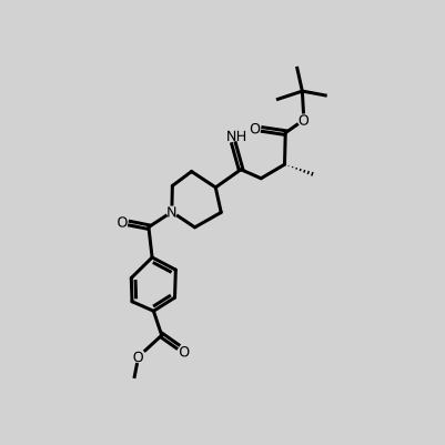 COC(=O)c1ccc(C(=O)N2CCC(C(=N)C[C@@H](C)C(=O)OC(C)(C)C)CC2)cc1